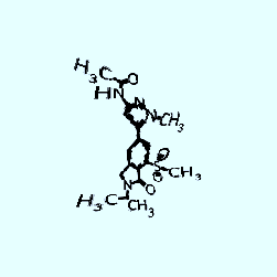 CC(=O)Nc1cc(-c2cc3c(c(S(C)(=O)=O)c2)C(=O)N(C(C)C)C3)n(C)n1